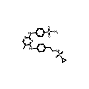 Cc1cnc(Nc2ccc(S(N)(=O)=O)cc2)nc1Nc1ccc(CCNS(=O)(=O)C2CC2)cc1